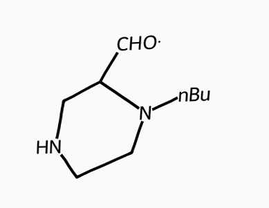 CCCCN1CCNCC1[C]=O